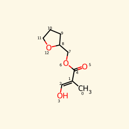 CC(=CO)C(=O)OCC1CCCO1